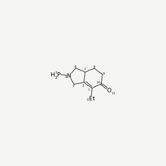 CCC1=C2CN(P)CC2CCC1=O